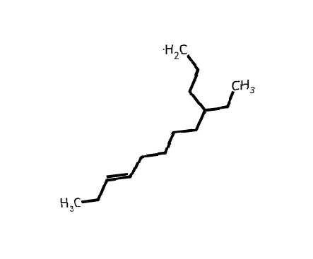 [CH2]CCC(CC)CCCC/C=C/CC